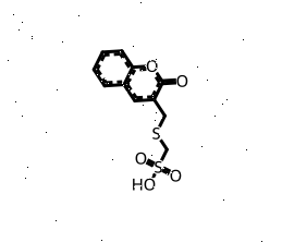 O=c1oc2ccccc2cc1CSCS(=O)(=O)O